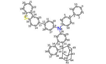 c1ccc(-c2ccc(N(c3ccc(-c4ccc5sc6ccccc6c5c4)cc3)c3ccc4c(c3)-c3ccccc3C43C4CC5CC(C4)CC3C5)cc2)cc1